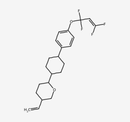 C=CC1CCC(C2CCC(c3ccc(OC(F)(F)C=C(F)F)cc3)CC2)OC1